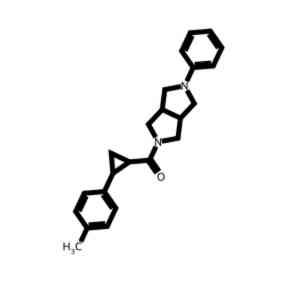 Cc1ccc(C2CC2C(=O)N2CC3CN(c4ccccc4)CC3C2)cc1